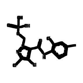 Cc1ccc(NC(=O)c2c(Cl)c(Cl)nn2COP(=O)(O)O)c(Cl)c1